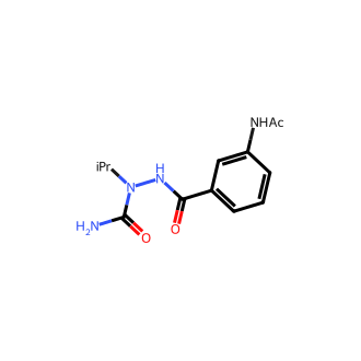 CC(=O)Nc1cccc(C(=O)NN(C(N)=O)C(C)C)c1